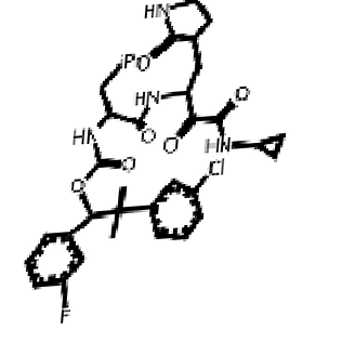 CC(C)CC(NC(=O)OC(c1cccc(F)c1)C(C)(C)c1cccc(Cl)c1)C(=O)NC(CC1CCNC1=O)C(=O)C(=O)NC1CC1